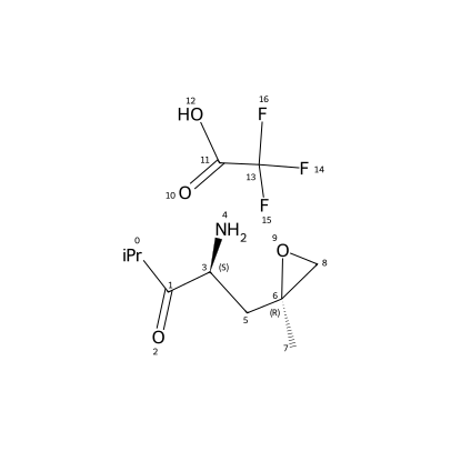 CC(C)C(=O)[C@@H](N)C[C@]1(C)CO1.O=C(O)C(F)(F)F